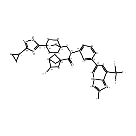 Cc1nc2c(C(F)(F)F)cc(-c3cccc(N(CC45CCC(c6nc(C7CC7)no6)(CC4)CC5)C(=O)C45CC(F)C(C4)C5)c3)cn2n1